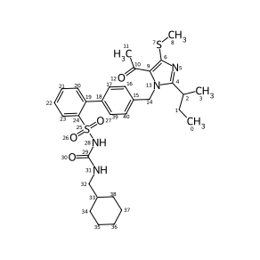 CCC(C)c1nc(SC)c(C(C)=O)n1Cc1ccc(-c2ccccc2S(=O)(=O)NC(=O)NCC2CCCCC2)cc1